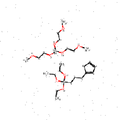 CCO[Si](CCCC1=CC=CC1)(OCC)OCC.COCCO[SiH](OCCOC)OCCOC